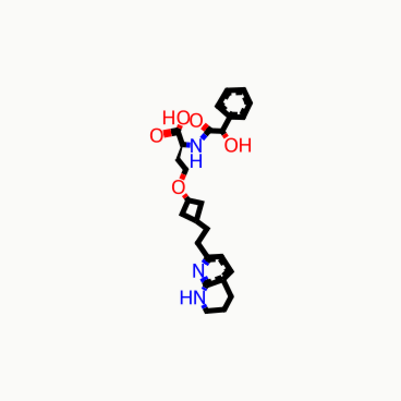 O=C(N[C@@H](CCOC1CC(CCc2ccc3c(n2)NCCC3)C1)C(=O)O)C(O)c1ccccc1